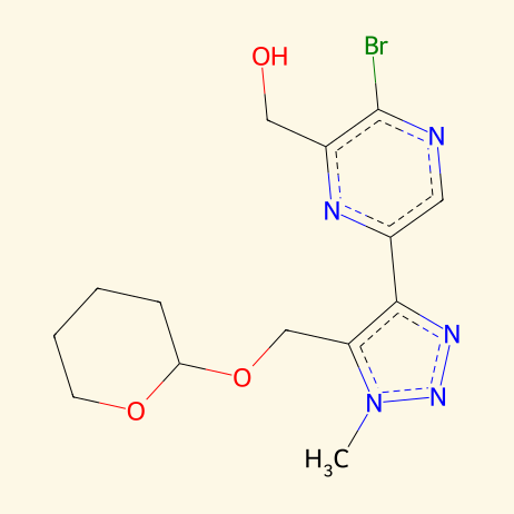 Cn1nnc(-c2cnc(Br)c(CO)n2)c1COC1CCCCO1